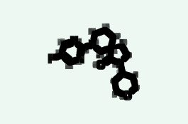 O=C1N(C2CCOCC2)CC[C@@]12CCCN(c1ncc(F)cn1)C2